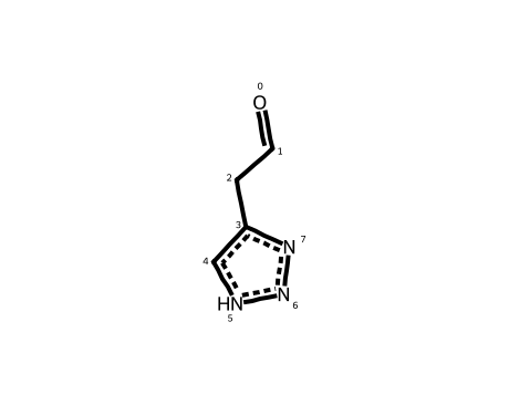 O=CCc1c[nH]nn1